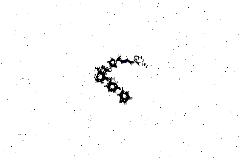 CN(C)C/C=C/C(=O)N1CC[C@@H](Oc2n[nH]c3nccc(Nc4cccc(Oc5ccccc5)c4)c23)C1